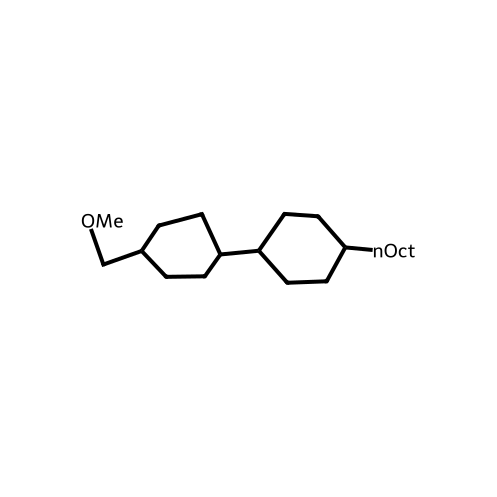 CCCCCCCCC1CCC(C2CCC(COC)CC2)CC1